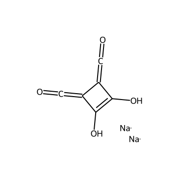 O=C=C1C(=C=O)C(O)=C1O.[Na].[Na]